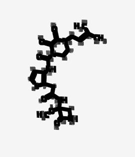 COC1(NC(=O)Cc2sccc2NC(=O)N2CCN(CC=C(C)C)C(=O)C2=O)CNC1=O